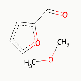 COC.O=Cc1ccco1